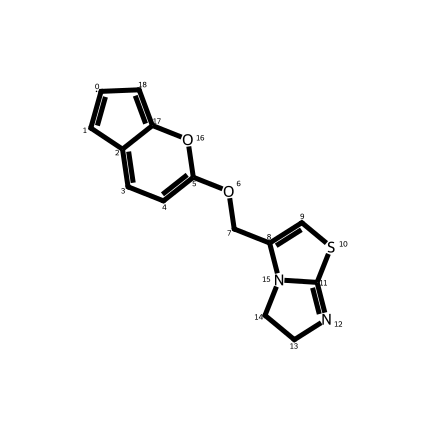 [c]1cc2ccc(OCC3=CSC4=NCCN34)oc-2c1